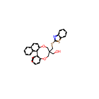 OCC1(CSc2nc3ccccc3s2)COc2ccc3ccccc3c2-c2c(ccc3ccccc23)OC1